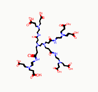 O=C(O)CCN(CCNC(=O)CCN(CCC(=O)NCCN(CCC(=O)O)CCC(=O)O)CCN(CCC(=O)NCCN(CCC(=O)O)CCC(=O)O)CCC(=O)NCCN(CCC(=O)O)CCC(=O)O)CCC(=O)O